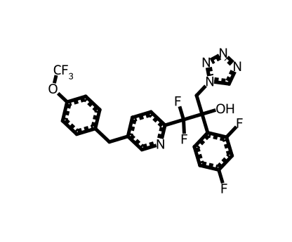 OC(Cn1cnnn1)(c1ccc(F)cc1F)C(F)(F)c1ccc(Cc2ccc(OC(F)(F)F)cc2)cn1